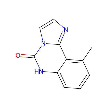 Cc1cccc2[nH]c(=O)n3ccnc3c12